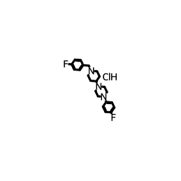 Cl.Fc1ccc(CN2CCC(N3CCN(c4ccc(F)cc4)CC3)CC2)cc1